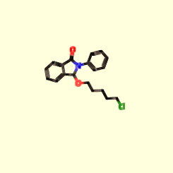 O=C1c2ccccc2C(OCCCCCCl)N1c1ccccc1